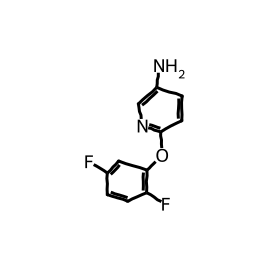 Nc1ccc(Oc2cc(F)ccc2F)nc1